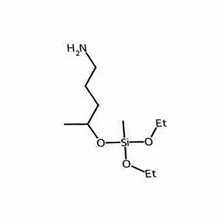 CCO[Si](C)(OCC)OC(C)CCCN